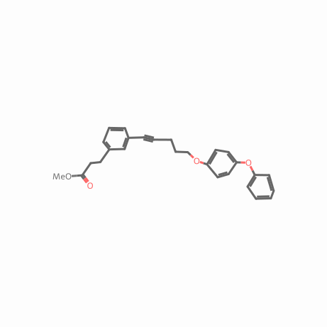 COC(=O)CCc1cccc(C#CCCCOc2ccc(Oc3ccccc3)cc2)c1